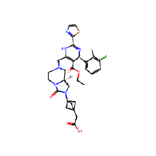 CCOC(=O)C1=C(CN2CCN3C(=O)N(C45CC(CC(=O)O)(C4)C5)C[C@@H]3C2)NC(c2nccs2)=N[C@H]1c1cccc(F)c1C